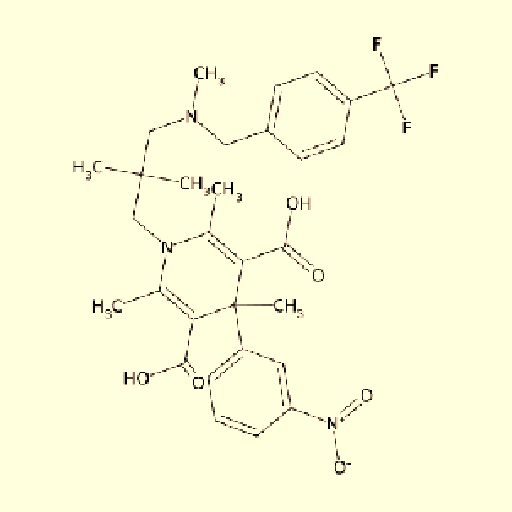 CC1=C(C(=O)O)C(C)(c2cccc([N+](=O)[O-])c2)C(C(=O)O)=C(C)N1CC(C)(C)CN(C)Cc1ccc(C(F)(F)F)cc1